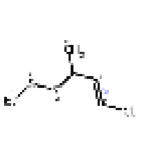 CCSSC(C)/C=C/Cl